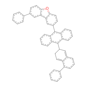 C1=c2cccc(-c3ccccc3)c2=CCC1c1c2ccccc2c(-c2ccc3oc4ccc(-c5ccccc5)cc4c3c2)c2ccccc12